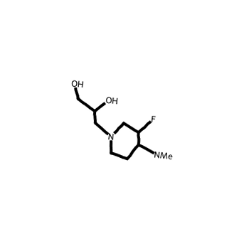 CNC1CCN(CC(O)CO)CC1F